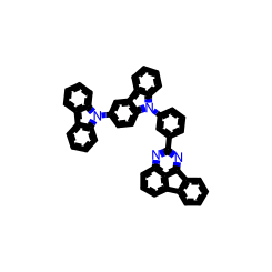 c1cc(-c2nc3c4c(cccc4n2)-c2ccccc2-3)cc(-n2c3ccccc3c3cc(-n4c5ccccc5c5ccccc54)ccc32)c1